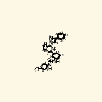 O=C(Nc1ccc(Cl)cc1)Nc1cccc(-c2cn3ccnc3c(-n3cnc(-c4ccccc4)c3)n2)c1